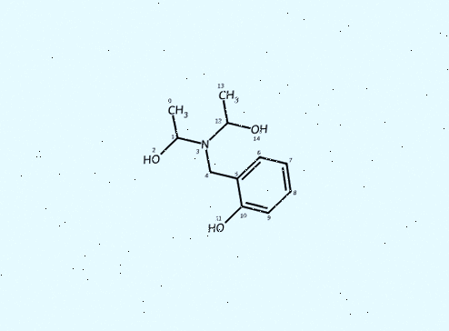 CC(O)N(Cc1ccccc1O)C(C)O